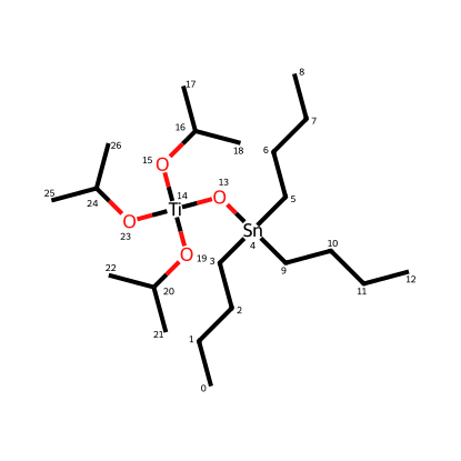 CCC[CH2][Sn]([CH2]CCC)([CH2]CCC)[O][Ti]([O]C(C)C)([O]C(C)C)[O]C(C)C